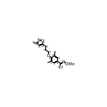 CCC(=NOC)c1cc(C)c(OCCCc2cc(C)no2)c(C)c1